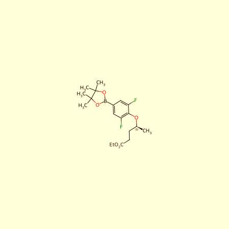 CCOC(=O)CC[C@H](C)Oc1c(F)cc(B2OC(C)(C)C(C)(C)O2)cc1F